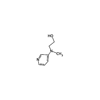 CN(CCO)c1cccnc1